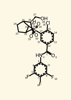 O=C(Nc1cc(F)c(F)c(F)c1)c1ccc(Cl)c(S(=O)(=O)[C@H]2C3CCC2[C@@H](CO)C3=O)c1